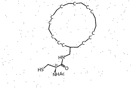 CC(=O)N[C@@H](CS)C(=O)NCC1CCCCCCCCCCCCCCCCCCC1